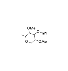 CCCOC1C(OC)[CH]OC(C)C1OC